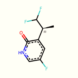 C[C@@H](c1cc(F)c[nH]c1=O)C(F)F